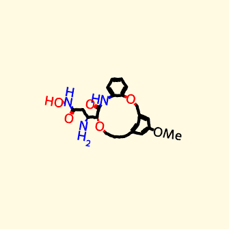 COc1cc2cc(c1)COc1ccccc1NC(=O)[C@H]([C@@H](N)CC(=O)NO)OCCC2